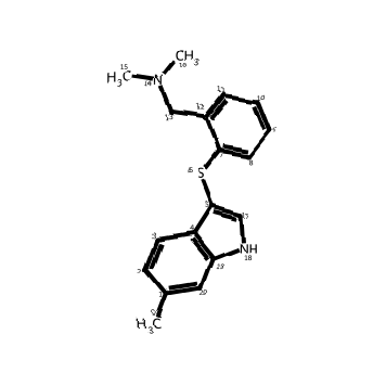 Cc1ccc2c(Sc3ccccc3CN(C)C)c[nH]c2c1